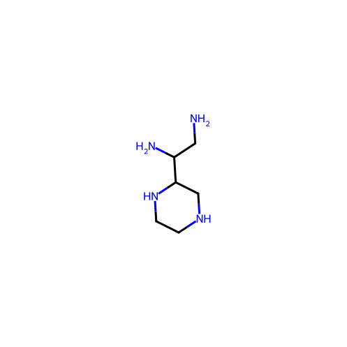 NCC(N)C1CNCCN1